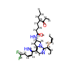 C/C=C\S/C(=C/C)C1=NCC(C(=N)/C=C\CC(F)F)=C2CC(NC(=O)CCCC(CCC)C(=O)CC)CN12